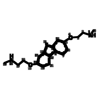 CNCCOc1ccc2c(c1)sc1cc(OCCNC)ccc12